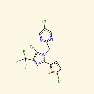 FC(F)(F)c1nc(-c2ccc(Cl)s2)n(Cc2ncc(Cl)cn2)c1Cl